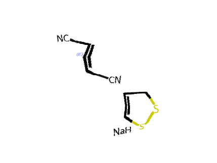 C1=CSSC1.N#C/C=C/C#N.[NaH]